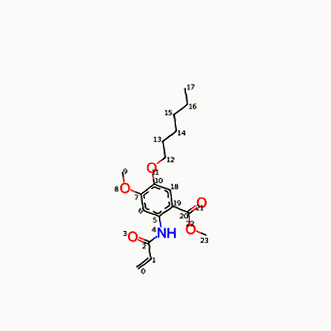 C=CC(=O)Nc1cc(OC)c(OCCCCCC)cc1C(=O)OC